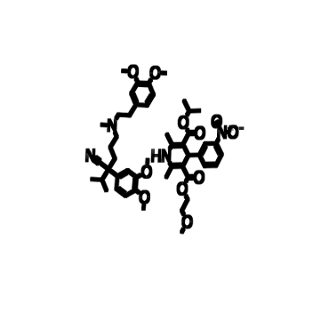 COCCOC(=O)C1=C(C)NC(C)=C(C(=O)OC(C)C)C1c1cccc([N+](=O)[O-])c1.COc1ccc(CCN(C)CCCC(C#N)(c2ccc(OC)c(OC)c2)C(C)C)cc1OC